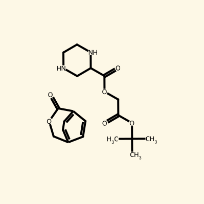 CC(C)(C)OC(=O)COC(=O)C1CNCCN1.O=C1OCc2ccc1cc2